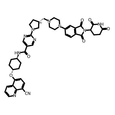 N#Cc1ccc(O[C@H]2CC[C@H](NC(=O)c3cnc(N4CC[C@H](CN5CCN(c6ccc7c(c6)C(=O)N(C6CCC(=O)NC6=O)C7=O)CC5)C4)nc3)CC2)c2cccnc12